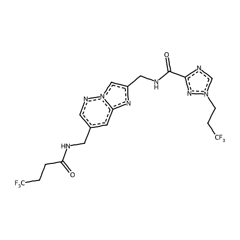 O=C(CCC(F)(F)F)NCc1cnn2cc(CNC(=O)c3ncn(CCC(F)(F)F)n3)nc2c1